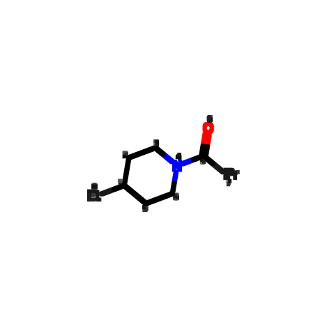 CCC1CCN(C(=O)C(C)C)CC1